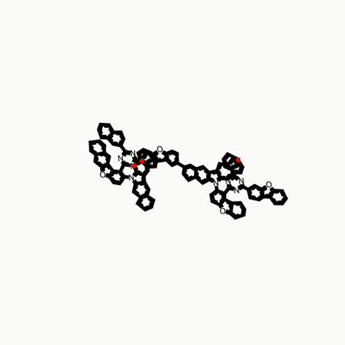 c1ccc(-c2nc(-c3ccc4c(c3)oc3ccccc34)nc(-c3c(-n4c5cc6ccccc6cc5c5cc6cc(-c7ccc8oc9cc(-c%10nc(-c%11ccc%12ccccc%12c%11)nc(-c%11c(-n%12c%13cc%14ccccc%14cc%13c%13cc%14ccccc%14cc%13%12)ccc%12oc%13cc%14ccccc%14cc%13c%11%12)n%10)ccc9c8c7)ccc6cc54)ccc4oc5ccccc5c34)n2)cc1